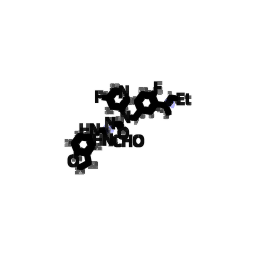 CC/C=C(\C)c1cc(CN(C(=O)/N=C(\NC=O)Nc2ccc3c(c2)CCO3)c2cncc(F)c2)ccc1F